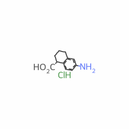 Cl.Nc1ccc2c(c1)CCCC2C(=O)O